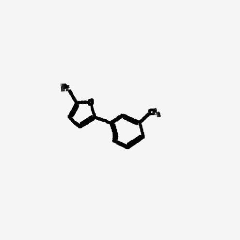 CC(C)c1ccc(-c2cccc(C(F)(F)F)c2)o1